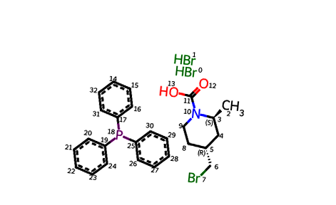 Br.Br.C[C@H]1C[C@H](CBr)CCN1C(=O)O.c1ccc(P(c2ccccc2)c2ccccc2)cc1